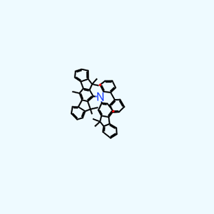 Cc1c2c(c(N(c3ccc4c(c3)C(C)(C)c3ccccc3-4)c3ccccc3-c3ccccc3)c3c1-c1ccccc1C3(C)C)C(C)(C)c1ccccc1-2